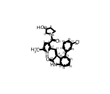 Cc1cc(C(=O)N2CC[C@H](O)C2)c(/C=C2\C(=O)Nc3cccc(-c4cccc(Cl)c4)c32)[nH]1